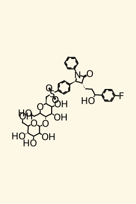 O=C1[C@H](CC[C@H](O)c2ccc(F)cc2)[C@@H](c2ccc(S(=O)(=O)C[C@@H]3OC(CO)[C@@H](O[C@@H]4OC(CO)[C@@H](O)[C@H](O)C4O)[C@H](O)C3O)cc2)N1c1ccccc1